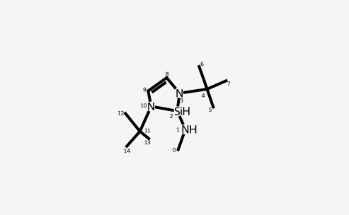 CN[SiH]1N(C(C)(C)C)C=CN1C(C)(C)C